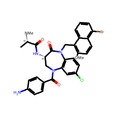 CN[C@@H](C)C(=O)N[C@H]1CN(C(=O)c2ccc(N)cc2)c2cc(Cl)ccc2N(Cc2c(OC)ccc3c(Br)cccc23)C1=O